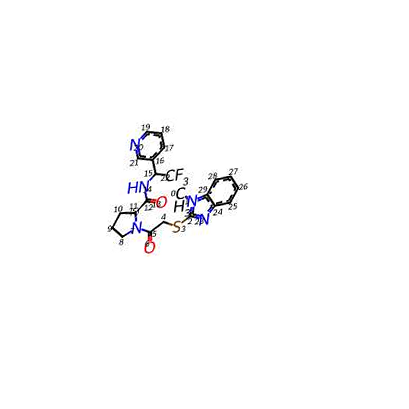 Cn1c(SCC(=O)N2CCC[C@H]2C(=O)NC(c2cccnc2)C(F)(F)F)nc2ccccc21